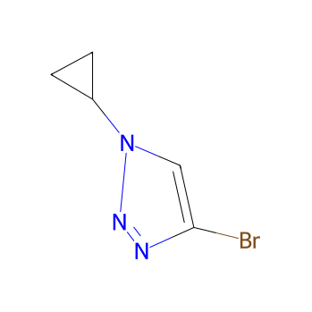 Brc1cn(C2CC2)nn1